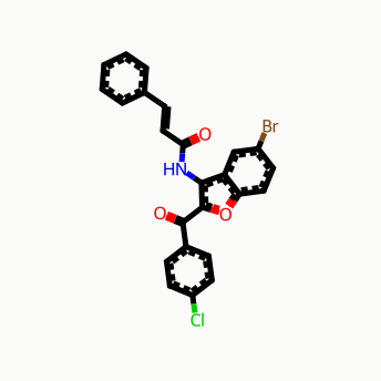 O=C(C=Cc1ccccc1)Nc1c(C(=O)c2ccc(Cl)cc2)oc2ccc(Br)cc12